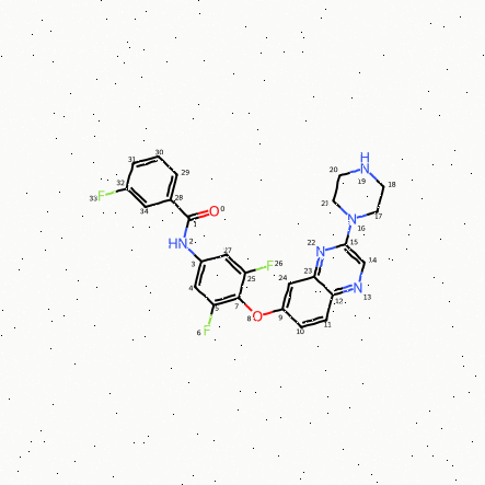 O=C(Nc1cc(F)c(Oc2ccc3ncc(N4CCNCC4)nc3c2)c(F)c1)c1cccc(F)c1